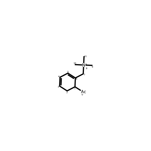 CC(=O)C1CC=CC=C1C[N+](C)(C)C